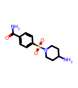 NC(=O)c1ccc(S(=O)(=O)N2CCC(N)CC2)cc1